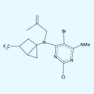 C=C(C)CN(c1nc(Cl)nc(NC)c1Br)C12CC(C(F)(F)F)C1C2